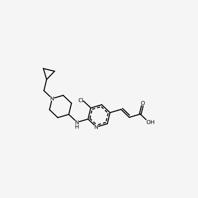 O=C(O)C=Cc1cnc(NC2CCN(CC3CC3)CC2)c(Cl)c1